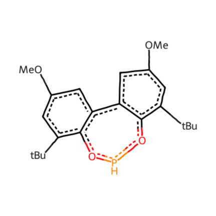 COc1cc(C(C)(C)C)c2o[pH]oc3c(C(C)(C)C)cc(OC)cc3c2c1